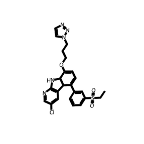 CCS(=O)(=O)c1cccc(C2=CC=C(OCCCn3ccnn3)C3Nc4ncc(Cl)cc4C23)c1